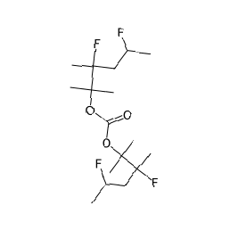 CC(F)CC(C)(F)C(C)(C)OC(=O)OC(C)(C)C(C)(F)CC(C)F